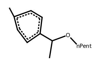 CCCCCOC(C)c1ccc(C)cc1